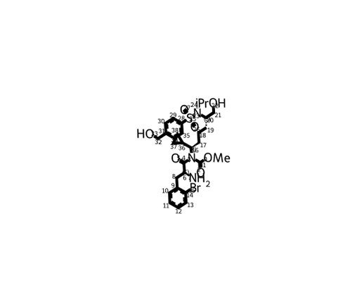 COC(=O)N(C(=O)[C@@H](N)Cc1ccccc1Br)[C@H](CCC[C@@H](CO)N(C(C)C)S(=O)(=O)c1ccc(CO)cc1)C1CC1